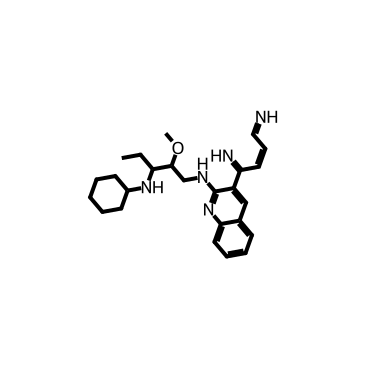 CCC(NC1CCCCC1)C(CNc1nc2ccccc2cc1C(=N)/C=C\C=N)OC